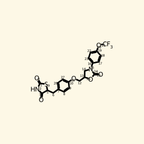 O=C1NC(=O)C(Cc2ccc(OCC3CN(c4ccc(OC(F)(F)F)cc4)C(=O)O3)cc2)S1